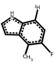 [2H]c1cc(F)c(C)c2cc[nH]c12